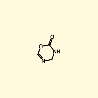 O=C1NCN=CO1